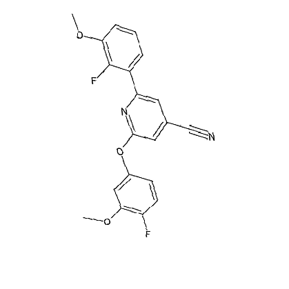 COc1cc(Oc2cc(C#N)cc(-c3cccc(OC)c3F)n2)ccc1F